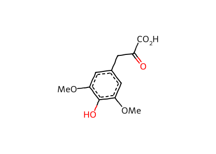 COc1cc(CC(=O)C(=O)O)cc(OC)c1O